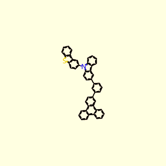 c1cc(-c2ccc3c4ccccc4c4ccccc4c3c2)cc(-c2ccc3c(c2)c2ccccc2n3-c2ccc3sc4ccccc4c3c2)c1